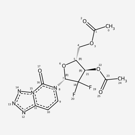 CC(=O)OC[C@H]1O[C@@H](n2ccc3nnnn3c2=O)C(F)(F)[C@@H]1OC(C)=O